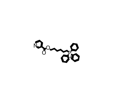 O=C(OCCCCCC[PH](c1ccccc1)(c1ccccc1)c1ccccc1)c1cccnc1